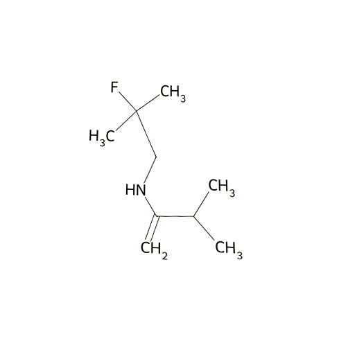 C=C(NCC(C)(C)F)C(C)C